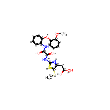 COc1ccccc1Oc1ccccc1NC(=O)C(=O)Nc1nc(CC(=O)O)c(SC)s1